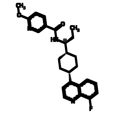 CC[C@H](NC(=O)c1ccc(OC)nc1)[C@H]1CC[C@@H](c2ccnc3c(F)cccc32)CC1